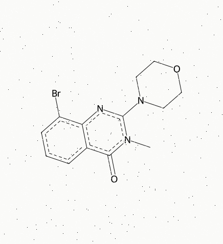 Cn1c(N2CCOCC2)nc2c(Br)cccc2c1=O